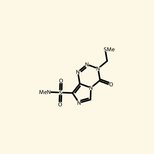 CNS(=O)(=O)c1ncn2c(=O)n(CSC)nnc12